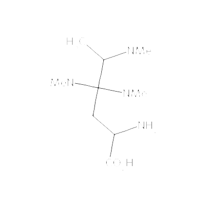 CNC(C)C(CC(N)C(=O)O)(NC)NC